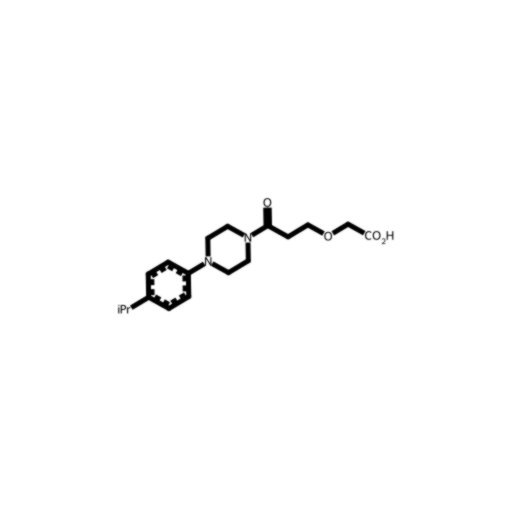 CC(C)c1ccc(N2CCN(C(=O)CCOCC(=O)O)CC2)cc1